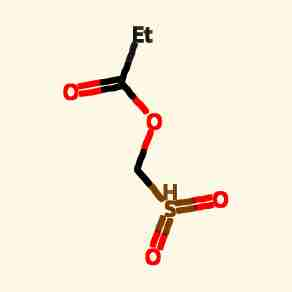 CCC(=O)OC[SH](=O)=O